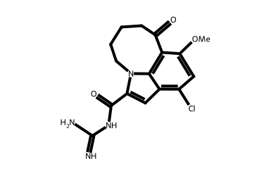 COc1cc(Cl)c2cc(C(=O)NC(=N)N)n3c2c1C(=O)CCCC3